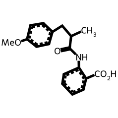 COc1ccc(CC(C)C(=O)Nc2ccccc2C(=O)O)cc1